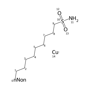 CCCCCCCCCCCCCCCCCCS(N)(=O)=O.[Cu]